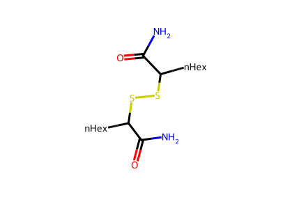 CCCCCCC(SSC(CCCCCC)C(N)=O)C(N)=O